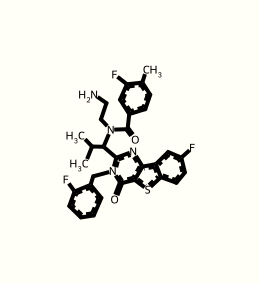 Cc1ccc(C(=O)N(CCN)C(c2nc3c(sc4ccc(F)cc43)c(=O)n2Cc2ccccc2F)C(C)C)cc1F